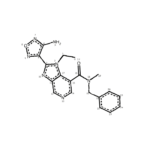 CCn1c(-c2nonc2N)nc2cncc(C(=O)N(C)Cc3ccccc3)c21